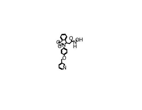 O=C(CC1c2ccccc2S(=O)(=O)N1c1ccc(OCc2cccnc2)cc1)NO